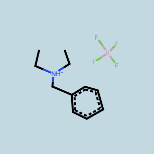 CC[NH+](CC)Cc1ccccc1.F[B-](F)(F)F